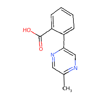 Cc1cnc(-c2ccccc2C(=O)O)cn1